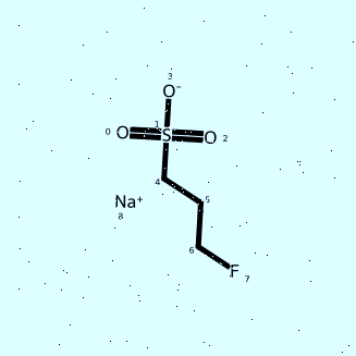 O=S(=O)([O-])CCCF.[Na+]